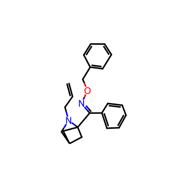 C=CCN1CC2CC1(C(=NOCc1ccccc1)c1ccccc1)C2